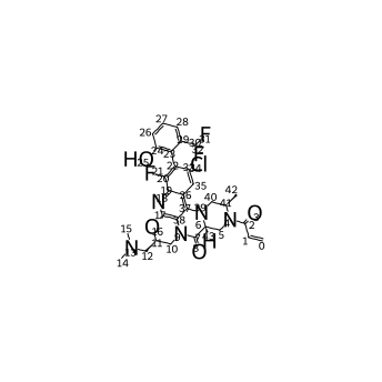 C=CC(=O)N1C[C@@H]2C(=O)N3C[C@@H](CN(C)C)Oc4nc5c(F)c(-c6c(O)cccc6C(F)F)c(Cl)cc5c(c43)N2C[C@H]1C